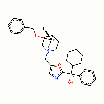 O[C@](c1ccccc1)(c1ncc(C[N+]23CCC(CC2)[C@@H](OCc2ccccc2)C3)o1)C1CCCCC1